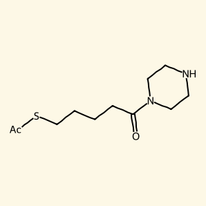 CC(=O)SCCCCC(=O)N1CCNCC1